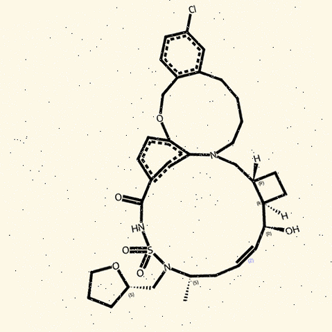 C[C@H]1C/C=C\[C@H](O)[C@@H]2CC[C@H]2CN2CCCCc3cc(Cl)ccc3COc3ccc(cc32)C(=O)NS(=O)(=O)N1C[C@@H]1CCCO1